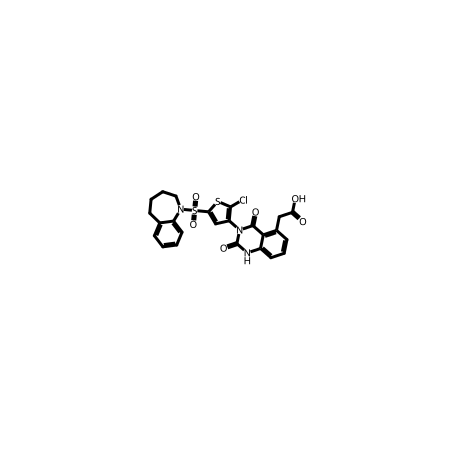 O=C(O)Cc1cccc2[nH]c(=O)n(-c3cc(S(=O)(=O)N4CCCCc5ccccc54)sc3Cl)c(=O)c12